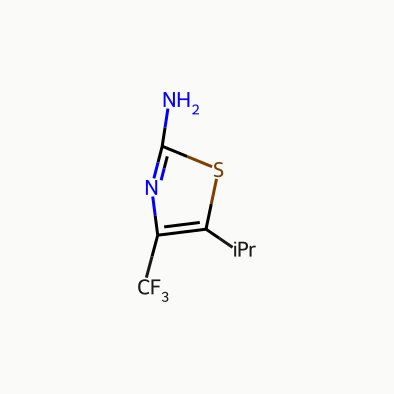 CC(C)c1sc(N)nc1C(F)(F)F